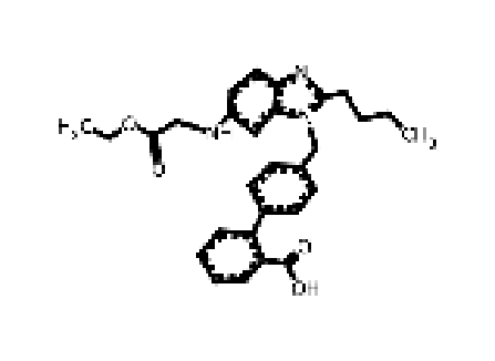 CCCCc1nc2ccc(NCC(=O)OCC)cc2n1Cc1ccc(-c2ccccc2C(=O)O)cc1